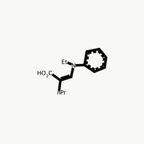 CCCC(=CN(CC)c1ccccc1)C(=O)O